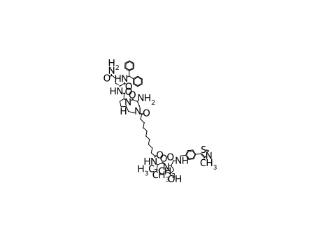 Cc1ncsc1-c1ccc(CNC(=O)C2C[C@@H](O)CN2C(=O)[C@@H](NC(=O)CCCCCCCCCC(=O)N2CC[C@H]3CC[C@@H](C(=O)N[C@@H](CCC(N)=O)C(=O)NC(c4ccccc4)c4ccccc4)N3C(=O)[C@@H](N)C2)C(C)(C)C)cc1